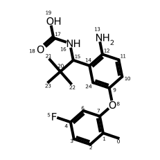 Cc1ccc(F)cc1Oc1ccc(N)c(C(NC(=O)O)C(C)(C)C)c1